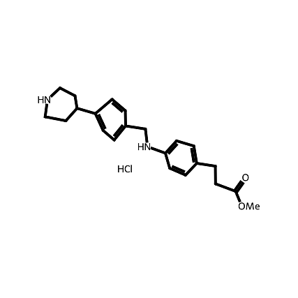 COC(=O)CCc1ccc(NCc2ccc(C3CCNCC3)cc2)cc1.Cl